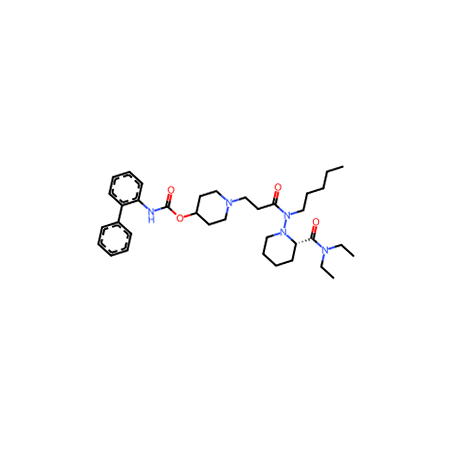 CCCCCN(C(=O)CCN1CCC(OC(=O)Nc2ccccc2-c2ccccc2)CC1)N1CCCC[C@H]1C(=O)N(CC)CC